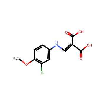 COc1ccc(NC=C(C(=O)O)C(=O)O)cc1Cl